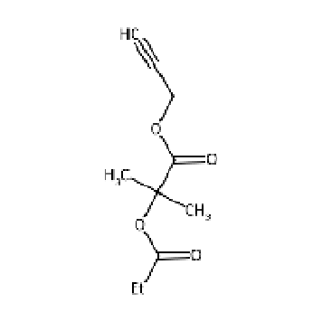 C#CCOC(=O)C(C)(C)OC(=O)CC